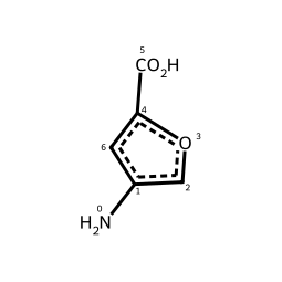 Nc1coc(C(=O)O)c1